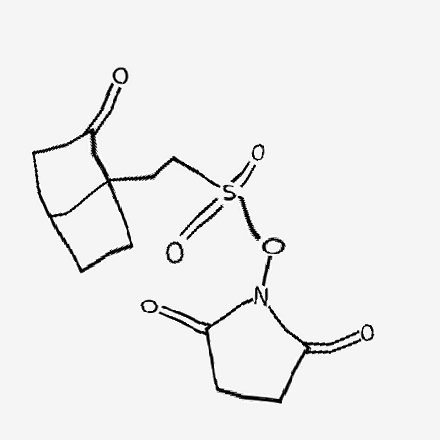 O=C1CCC(=O)N1OS(=O)(=O)CC12CCC1CC2=O